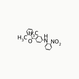 Cc1ccccc1C(=O)c1ccc(Nc2ccccc2[N+](=O)[O-])cc1C